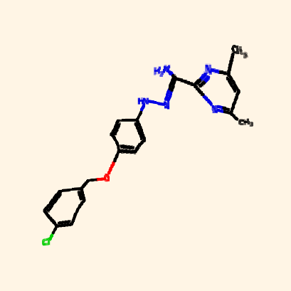 Cc1cc(C)nc(C(N)=NNc2ccc(OCc3ccc(Cl)cc3)cc2)n1